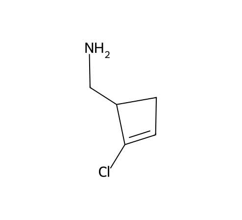 NCC1CC=C1Cl